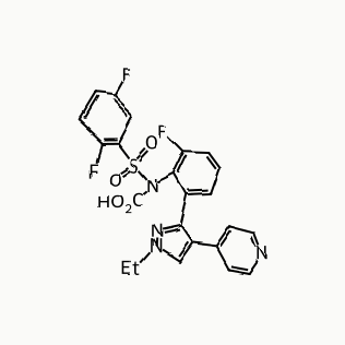 CCn1cc(-c2ccncc2)c(-c2cccc(F)c2N(C(=O)O)S(=O)(=O)c2cc(F)ccc2F)n1